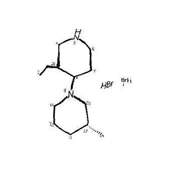 Br.Br.CC1CNCCC1N1CCC[C@@H](C)C1